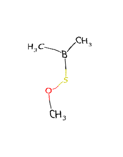 COSB(C)C